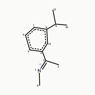 C/N=C(\C)c1cccc(C(C)C)c1